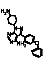 Nc1ncnc2c1c(-c1ccc(Oc3ccccc3)cc1)nn2C1CCC(N)CC1